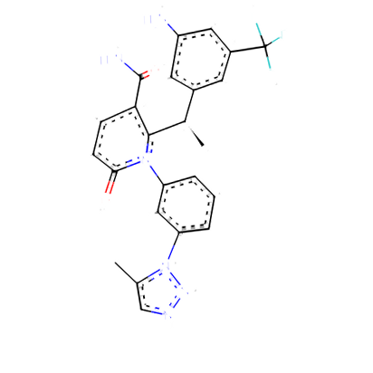 Cc1cnnn1-c1cccc(-n2c([C@H](C)c3cc(N)cc(C(F)(F)F)c3)c(C(N)=O)ccc2=O)c1